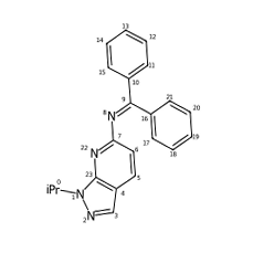 CC(C)n1ncc2ccc(N=C(c3ccccc3)c3ccccc3)nc21